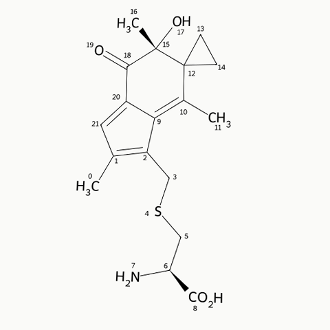 CC1=C(CSC[C@H](N)C(=O)O)C2=C(C)C3(CC3)[C@@](C)(O)C(=O)C2=C1